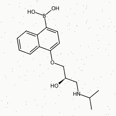 CC(C)NC[C@@H](O)COc1ccc(B(O)O)c2ccccc12